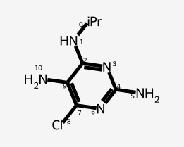 CC(C)Nc1nc(N)nc(Cl)c1N